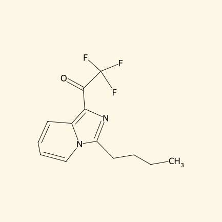 CCCCc1nc(C(=O)C(F)(F)F)c2ccccn12